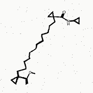 C=C(OC)C1(CCCCCCCCCCCCC2(C(=O)NC3CC3)CC2)CC1